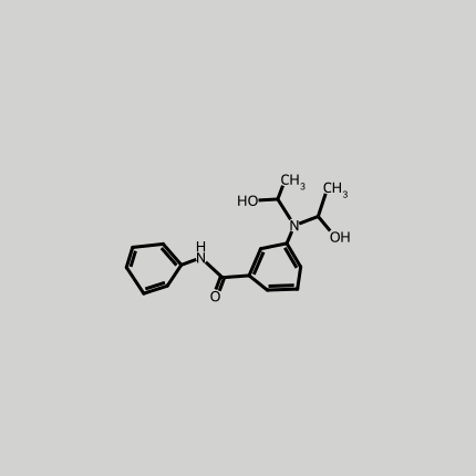 CC(O)N(c1cccc(C(=O)Nc2ccccc2)c1)C(C)O